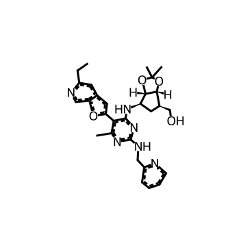 CCc1cc2cc(-c3c(C)nc(NCc4ccccn4)nc3N[C@@H]3C[C@H](CO)[C@H]4OC(C)(C)O[C@H]43)oc2cn1